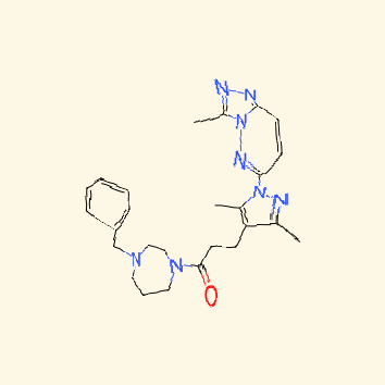 Cc1nn(-c2ccc3nnc(C)n3n2)c(C)c1CCC(=O)N1CCCN(Cc2ccccc2)CC1